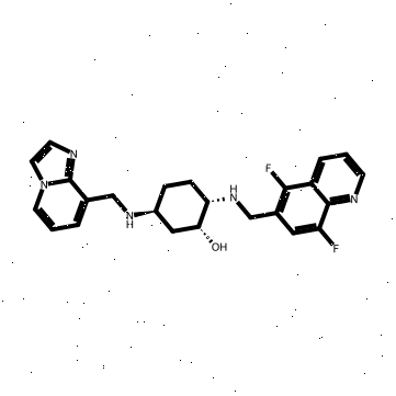 O[C@@H]1C[C@@H](NCc2cccn3ccnc23)CC[C@@H]1NCc1cc(F)c2ncccc2c1F